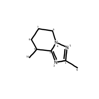 Cc1nc2n(n1)CCCC2C